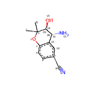 CC1(C)Oc2ccc(C#N)cc2[C@@H](N)[C@@H]1O